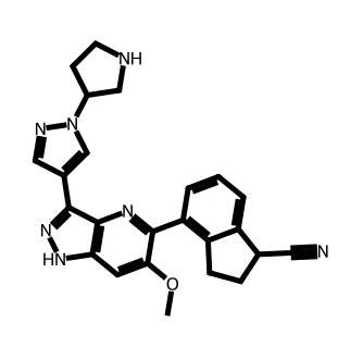 COc1cc2[nH]nc(-c3cnn(C4CCNC4)c3)c2nc1-c1cccc2c1CCC2C#N